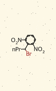 CCCC(Br)c1c([N+](=O)[O-])cccc1[N+](=O)[O-]